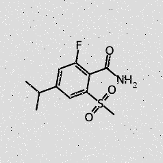 CC(C)c1cc(F)c(C(N)=O)c(S(C)(=O)=O)c1